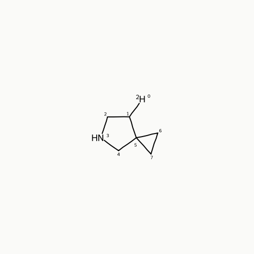 [2H]C1CNCC12CC2